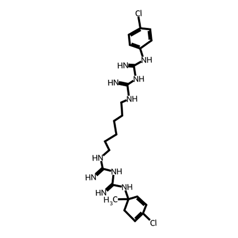 CC1(NC(=N)NC(=N)NCCCCCCNC(=N)NC(=N)Nc2ccc(Cl)cc2)C=CC(Cl)=CC1